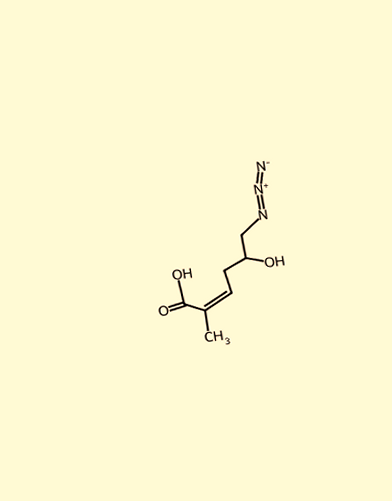 CC(=CCC(O)CN=[N+]=[N-])C(=O)O